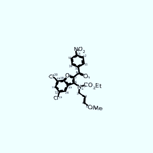 CCOC(=O)N(CCCOC)c1c(C(=O)c2ccc([N+](=O)[O-])cc2)oc2c(Cl)cc(Cl)cc12